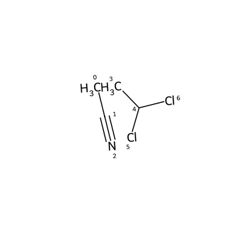 CC#N.CC(Cl)Cl